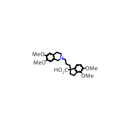 COc1cc2c(cc1OC)CN(CCCC1(C(=O)O)CCc3c1ccc(OC)c3OC)CC2